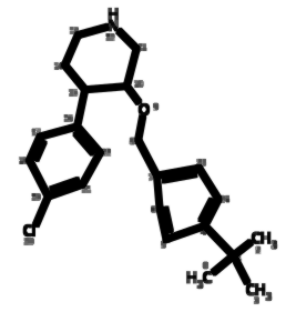 CC(C)(C)c1ccc(COC2CNCCC2c2ccc(Cl)cc2)cc1